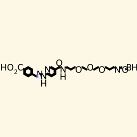 BOC=NCCCOCCOCCOCCCNC(=O)c1ccc(N/N=C/c2ccc(C(=O)O)cc2)nc1